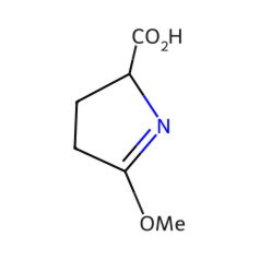 COC1=NC(C(=O)O)CC1